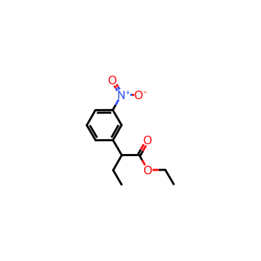 CCOC(=O)C(CC)c1cccc([N+](=O)[O-])c1